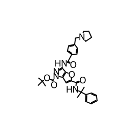 CC(C)(C)OC(=O)n1nc(NC(=O)c2ccc(CN3CCCC3)cc2)c2oc(C(=O)NC(C)(C)c3ccccc3)cc21